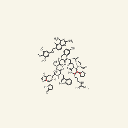 CCNC(=O)[C@@H]1CCCN1C(=O)[C@H](CCCNC(=N)N)NC(=O)[C@H](CC(C)C)NC(=O)[C@@H](CC(C)C)NC(=O)[C@H](Cc1ccc(O)cc1)NC(=O)[C@H](CO)NC(=O)[C@H](Cc1c[nH]c2ccccc12)NC(=O)[C@H](Cc1cnc[nH]1)NC(=O)[C@@H]1CCC(=O)N1.COc1cc(NCc2ccc3nc(N)nc(N)c3c2C)cc(OC)c1OC